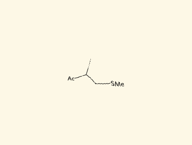 CSCC(C)C(C)=O